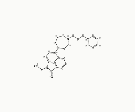 CC(C)CN1C(=O)c2cccc3c(N4CCCN(CCCc5ccccc5)CC4)ccc1c23